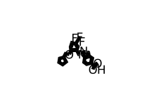 O=C(O)c1ccc2c(cnn2Cc2cc(C(F)(F)F)ccc2OCC2CCCC2)c1